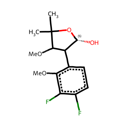 COc1c(C2C(OC)C(C)(C)O[C@@H]2O)ccc(F)c1F